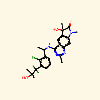 Cc1nc(NC(C)c2cccc(C(F)(F)C(C)(C)O)c2F)c2cc3c(cc2n1)N(C)C(=O)[C@@]3(C)O